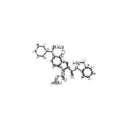 CNC(c1ccc2c(cc(C(=O)C3NCc4ccccc43)n2C(=O)OC(C)(C)C)c1Cl)C1CCCCC1